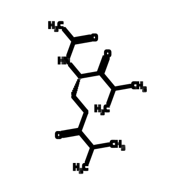 CC(=O)N[C@@H](CCC(=O)C(C)C)C(=O)C(C)C